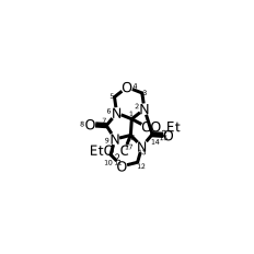 CCOC(=O)C12N3COCN1C(=O)N1COCN(C3=O)C12C(=O)OCC